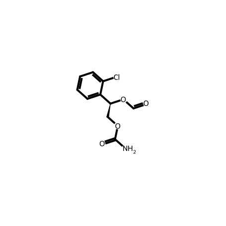 NC(=O)OC[C@H](OC=O)c1ccccc1Cl